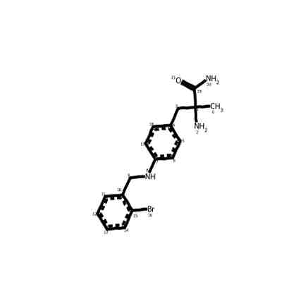 CC(N)(Cc1ccc(NCc2ccccc2Br)cc1)C(N)=O